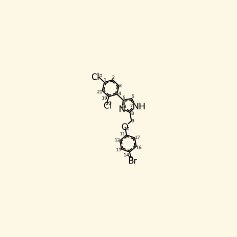 Clc1ccc(-c2c[nH]c(COc3ccc(Br)cc3)n2)c(Cl)c1